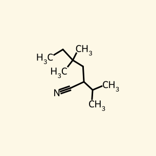 CCC(C)(C)CC(C#N)C(C)C